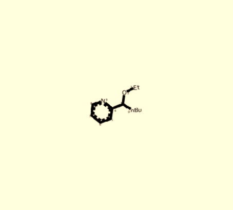 CCCCC(OCC)c1ccccn1